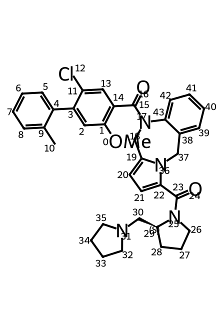 COc1cc(-c2ccccc2C)c(Cl)cc1C(=O)N1Cc2ccc(C(=O)N3CCC[C@H]3CN3CCCC3)n2Cc2ccccc21